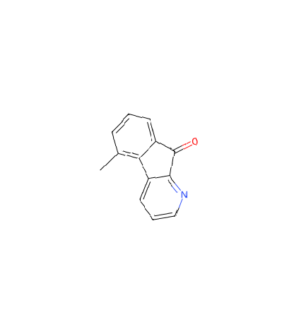 Cc1cccc2c1-c1cccnc1C2=O